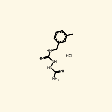 Cl.N=C(N)NNC(=N)NCc1cccc(I)c1